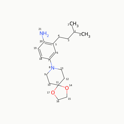 CC(C)CCc1cc(N2CCC3(CC2)OCCO3)ccc1N